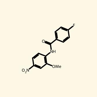 COc1cc([N+](=O)[O-])ccc1NC(=O)c1ccc(F)cc1